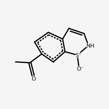 CC(=O)c1ccc2c(c1)[S+]([O-])NC=C2